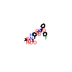 CC(C)(C)OC(=O)N[C@@H](Cc1cccc(S(=O)(=O)N2CC(OC3=CCC(F)C=C3)(c3ccccc3)C2)c1)C(=O)O